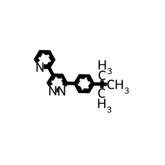 CC(C)(C)c1ccc(-c2cc(-c3ccccn3)cnn2)cc1